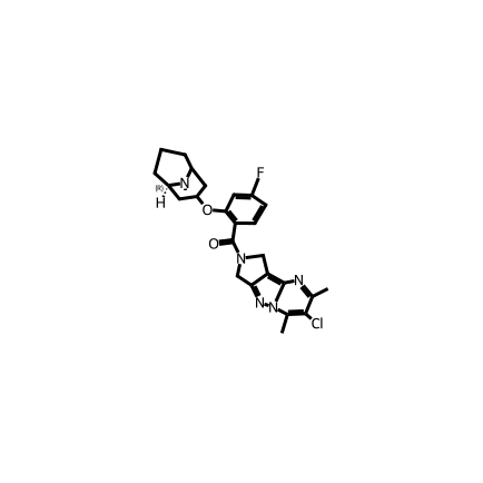 Cc1nc2c3c(nn2c(C)c1Cl)CN(C(=O)c1ccc(F)cc1OC1CC2CCC[C@H](C1)N2C)C3